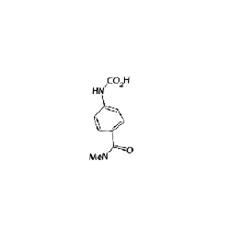 CNC(=O)c1ccc(NC(=O)O)cc1